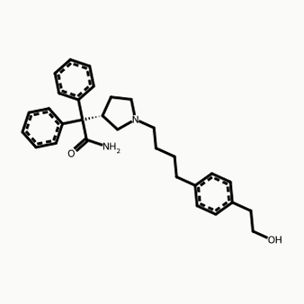 NC(=O)C(c1ccccc1)(c1ccccc1)[C@@H]1CCN(CCCCc2ccc(CCO)cc2)C1